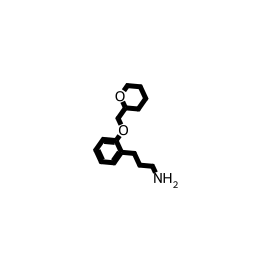 NCCCc1ccccc1OCC1CCCCO1